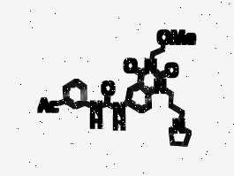 COCCn1c(=O)c2cc(NC(=O)Nc3cccc(C(C)=O)c3)ccc2n(CCCN2CCCC2)c1=O